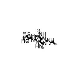 CCCNc1nc(NC)c2nc(NCC(O)C(F)(F)F)nc(NC)c2n1